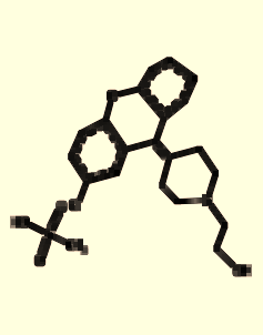 CS(=O)(=O)O.OCCN1CCC(=C2c3ccccc3Oc3ccc(Cl)cc32)CC1